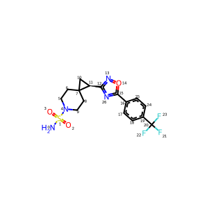 NS(=O)(=O)N1CCC2(CC1)C[C@H]2c1noc(-c2ccc(C(F)(F)F)cc2)n1